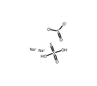 O=S(O)(O)=S.O=S([O-])[O-].[Na+].[Na+]